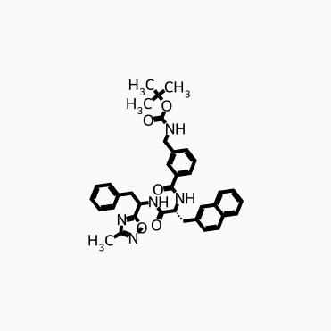 Cc1noc(C(Cc2ccccc2)NC(=O)[C@@H](Cc2ccc3ccccc3c2)NC(=O)c2cccc(CNC(=O)OC(C)(C)C)c2)n1